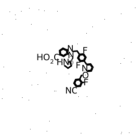 N#Cc1ccc(COc2cccc(-c3cc(F)c(Cc4nc5ccc(C(=O)O)cc5n4C[C@H]4CCCN4)cc3F)n2)c(F)c1